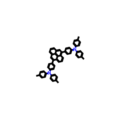 Cc1ccc(N(c2ccc(C)cc2)c2ccc(-c3cc4cccc5cc(-c6ccc(N(c7ccc(C)cc7)c7ccc(C)cc7)cc6)c6cccc3c6c45)cc2)cc1